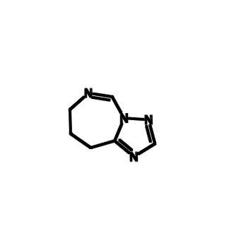 C1=NCCCc2ncnn21